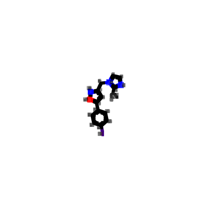 N#Cc1nccn1Cc1cc(-c2ccc(I)cc2)on1